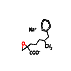 CC(CCCC1(C(=O)[O-])CO1)Cc1ccccc1.[Na+]